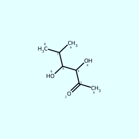 CC(=O)C(O)C(O)C(C)C